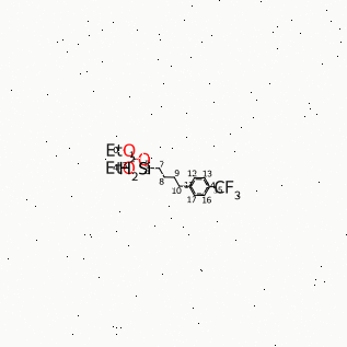 CCOC(OCC)O[SiH2]CCCCc1ccc(C(F)(F)F)cc1